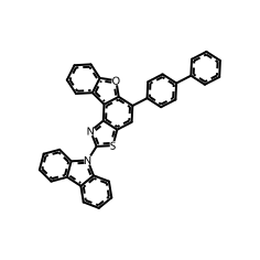 c1ccc(-c2ccc(-c3cc4sc(-n5c6ccccc6c6ccccc65)nc4c4c3oc3ccccc34)cc2)cc1